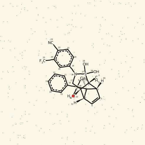 C[C@@]12[C@@H]3C=C[C@@H]([C@H]3[Si](C)(C)c3ccccc3)[C@@H]1CN(c1ccc(C#N)c(C(F)(F)F)c1)S2(O)O